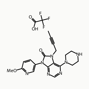 CC#CCn1c(=O)n(-c2ccc(OC)nc2)c2ncnc(N3CCNCC3)c21.O=C(O)C(F)(F)F